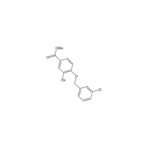 COC(=O)c1ccc(OCc2cccc(Cl)c2)c(C#N)c1